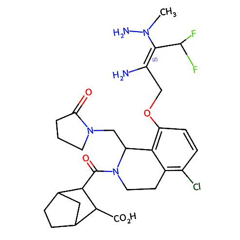 CN(N)/C(=C(\N)COc1ccc(Cl)c2c1C(CN1CCCC1=O)N(C(=O)C1C3CCC(C3)C1C(=O)O)CC2)C(F)F